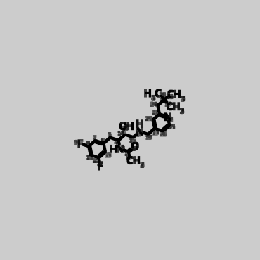 CC(=O)NC(Cc1cc(F)cc(F)c1)[C@H](O)CNCc1ccnc(CC(C)(C)C)c1